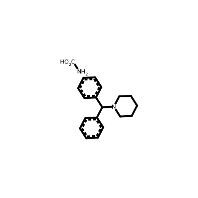 NC(=O)O.c1ccc(C(c2ccccc2)N2CCCCC2)cc1